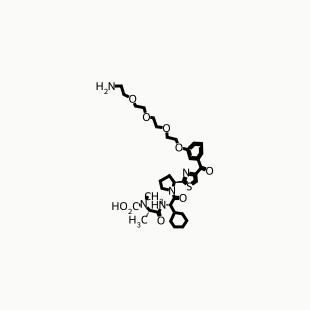 C[C@@H](C(=O)N[C@H](C(=O)N1CCC[C@H]1c1nc(C(=O)c2cccc(OCCOCCOCCOCCN)c2)cs1)C1CCCCC1)N(C)C(=O)O